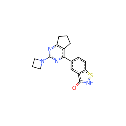 O=c1[nH]sc2ccc(-c3nc(N4CCC4)nc4c3CCC4)cc12